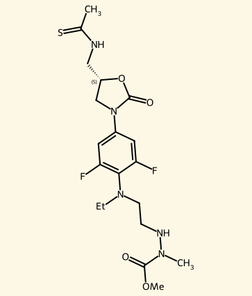 CCN(CCNN(C)C(=O)OC)c1c(F)cc(N2C[C@H](CNC(C)=S)OC2=O)cc1F